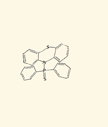 S=P(c1ccccc1)(c1ccccc1)N1c2ccccc2Sc2ccccc21